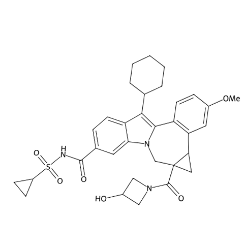 COc1ccc2c(c1)C1CC1(C(=O)N1CC(O)C1)Cn1c-2c(C2CCCCC2)c2ccc(C(=O)NS(=O)(=O)C3CC3)cc21